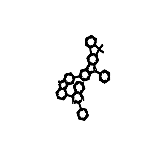 CC1(C)c2ccccc2-c2cc3c4cc(-c5ccc6sc7cccc(-c8nc(-c9ccccc9)nc9ccccc89)c7c6c5)ccc4n(-c4ccccc4)c3cc21